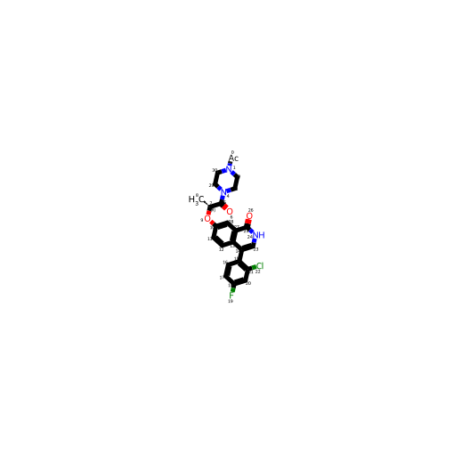 CC(=O)N1CCN(C(=O)[C@@H](C)Oc2ccc3c(-c4ccc(F)cc4Cl)c[nH]c(=O)c3c2)CC1